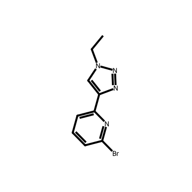 CCn1cc(-c2cccc(Br)n2)nn1